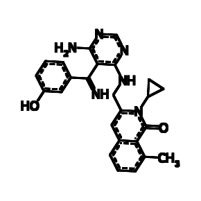 Cc1cccc2cc(CNc3ncnc(N)c3C(=N)c3cccc(O)c3)n(C3CC3)c(=O)c12